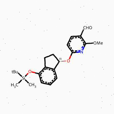 COc1nc(O[C@H]2CCc3c(O[Si](C)(C)C(C)(C)C)cccc32)ccc1C=O